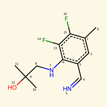 Cc1cc(C=N)c(NCC(C)(C)O)c(F)c1F